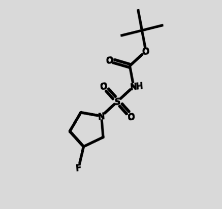 CC(C)(C)OC(=O)NS(=O)(=O)N1CCC(F)C1